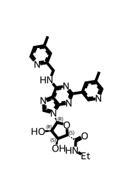 CCNC(=O)[C@H]1O[C@@H](n2cnc3c(NCc4cc(C)ccn4)nc(-c4cncc(C)c4)nc32)[C@H](O)[C@@H]1O